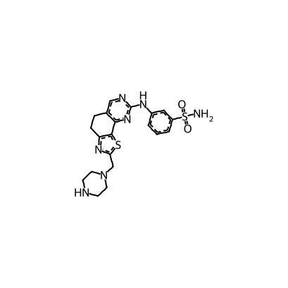 NS(=O)(=O)c1cccc(Nc2ncc3c(n2)-c2sc(CN4CCNCC4)nc2CC3)c1